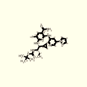 CC[C@H](NC(=O)OC(C)(C)C)[C@H](Nc1nc(Nc2cncc(-n3cccn3)c2)c(C(N)=O)cc1F)C1CC1